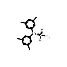 Cc1cc(C)cc([I+]c2cc(C)cc(C)c2)c1.O=S(=O)([O-])C(F)(F)F